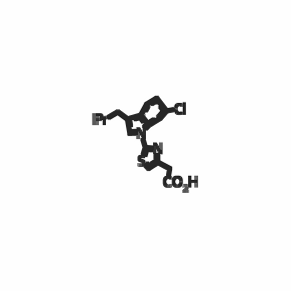 CC(C)Cc1cn(-c2nc(CC(=O)O)cs2)c2cc(Cl)ccc12